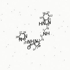 Cc1sc(CCNCCc2nc3ccccc3[nH]2)nc1C(=O)NCc1ncccn1